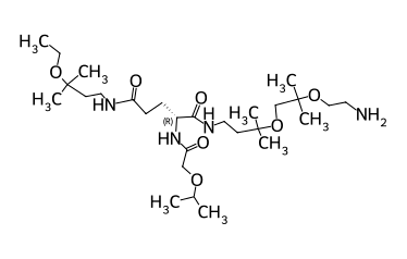 CCOC(C)(C)CCNC(=O)CC[C@@H](NC(=O)COC(C)C)C(=O)NCCC(C)(C)OCC(C)(C)OCCN